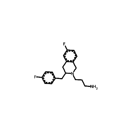 NCCCN1Cc2ccc(F)cc2CC1Cc1ccc(F)cc1